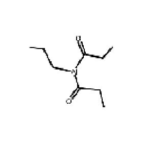 CC[CH2][Al]([C](=O)CC)[C](=O)CC